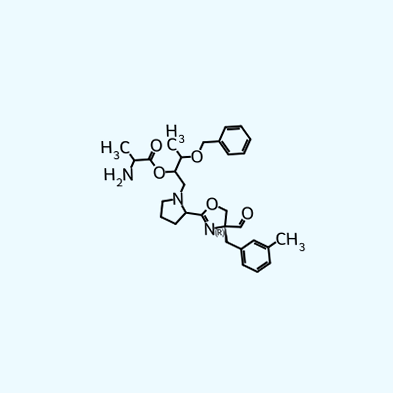 Cc1cccc(C[C@]2(C=O)COC(C3CCCN3CC(OC(=O)C(C)N)C(C)OCc3ccccc3)=N2)c1